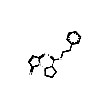 O=C(OCCc1ccccc1)[C@H]1CCC[C@@H]1N1C(=O)C=CC1=O